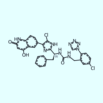 O=C(NCc1cc(Cl)ccc1-n1cnnn1)N[C@@H](Cc1ccccc1)c1nc(-c2ccc3[nH]c(=O)cc(O)c3c2)c(Cl)[nH]1